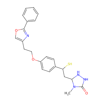 CN1C(=O)NNC1CC(S)c1ccc(OCCc2coc(-c3ccccc3)n2)cc1